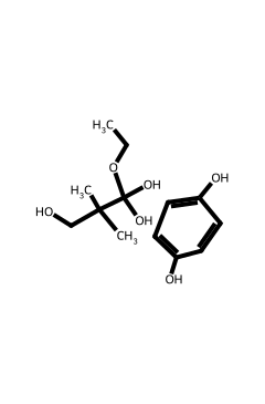 CCOC(O)(O)C(C)(C)CO.Oc1ccc(O)cc1